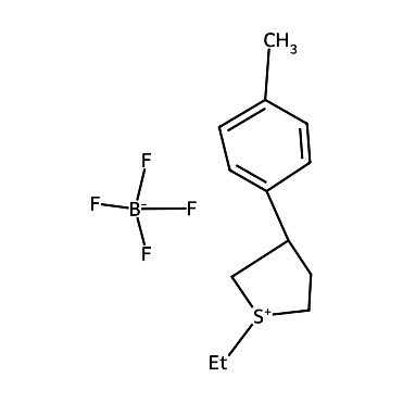 CC[S+]1CCC(c2ccc(C)cc2)C1.F[B-](F)(F)F